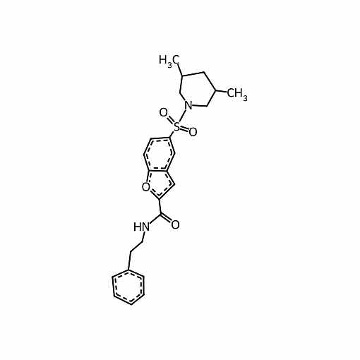 CC1CC(C)CN(S(=O)(=O)c2ccc3oc(C(=O)NCCc4ccccc4)cc3c2)C1